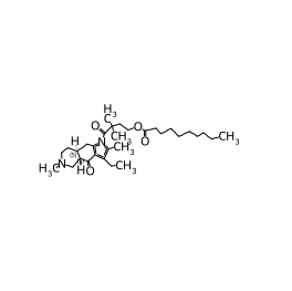 CCCCCCCCCC(=O)OCCC(C)(C)C(=O)n1c(C)c(CC)c2c1C[C@@H]1CCN(C)C[C@H]1C2=O